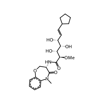 CO[C@@H](C(=O)N[C@H]1COc2ccccc2N(C)C1=O)[C@H](O)[C@@H](O)[C@H](O)C=CC1CCCC1